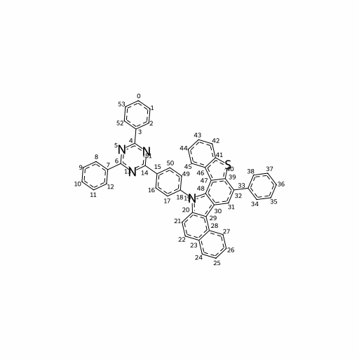 c1ccc(-c2nc(-c3ccccc3)nc(-c3ccc(-n4c5ccc6ccccc6c5c5cc(-c6ccccc6)c6sc7ccccc7c6c54)cc3)n2)cc1